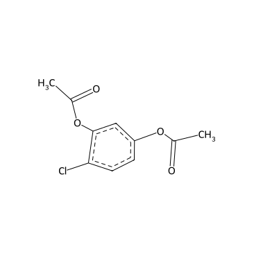 CC(=O)Oc1ccc(Cl)c(OC(C)=O)c1